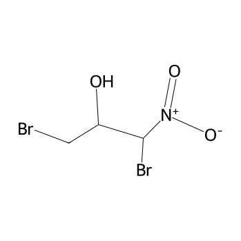 O=[N+]([O-])C(Br)C(O)CBr